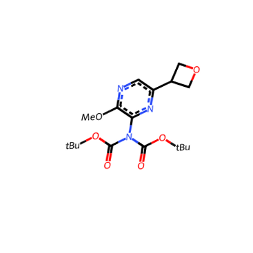 COc1ncc(C2COC2)nc1N(C(=O)OC(C)(C)C)C(=O)OC(C)(C)C